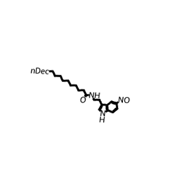 CCCCCCCCCCCCCCCCCCCC(=O)NCCc1c[nH]c2ccc(N=O)cc12